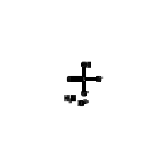 N.O=P([O-])([O-])O.[O+2]